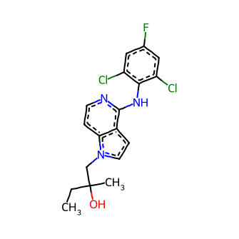 CCC(C)(O)Cn1ccc2c(Nc3c(Cl)cc(F)cc3Cl)nccc21